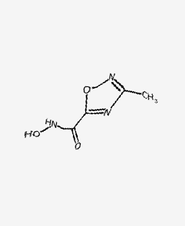 Cc1noc(C(=O)NO)n1